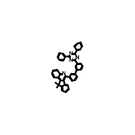 CC1(C)c2ccccc2-c2c(-c3cccc(-c4cccc(-c5nc(-c6ccccc6)nc(-c6ccccc6)n5)c4)c3)nc3ccccc3c21